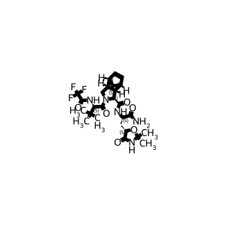 CC1(C)NC(=O)[C@H](C[C@H](NC(=O)[C@@H]2[C@@H]3[C@H](CN2C(=O)[C@@H](NC(=O)C(F)(F)F)C(C)(C)C)[C@@H]2C=C[C@H]3C2)C(N)=O)O1